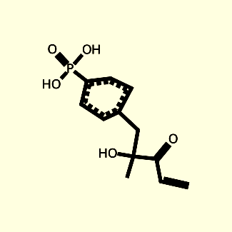 C=CC(=O)C(C)(O)Cc1ccc(P(=O)(O)O)cc1